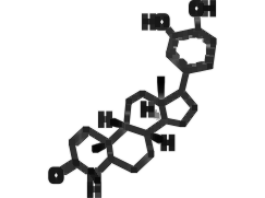 C[C@]12C=CC(=O)NC1CC[C@@H]1[C@H]2CC[C@]2(C)C(c3ccc(O)c(O)c3)CC[C@@H]12